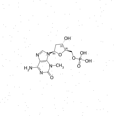 Cn1c(=O)nc(N)c2ncn([C@H]3C[C@H](O)[C@@H](COP(=O)(O)O)O3)c21